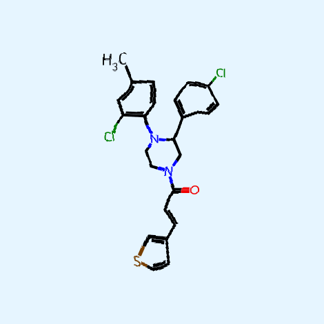 Cc1ccc(N2CCN(C(=O)/C=C/c3ccsc3)CC2c2ccc(Cl)cc2)c(Cl)c1